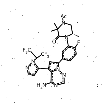 CC(=O)N1C[C@H](C)N(c2cc(-c3cc(-c4ccnn4C(C(F)(F)F)C(F)(F)F)c4c(N)ncnn34)ccc2F)C(=O)C1(C)C